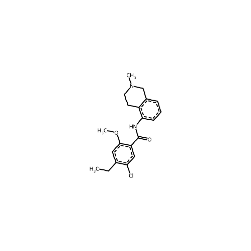 CCc1cc(OC)c(C(=O)Nc2cccc3c2CCN(C)C3)cc1Cl